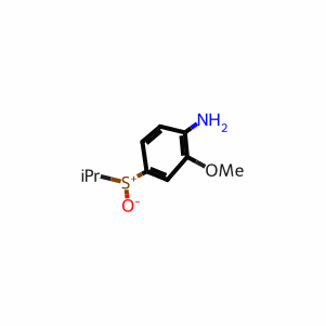 COc1cc([S+]([O-])C(C)C)ccc1N